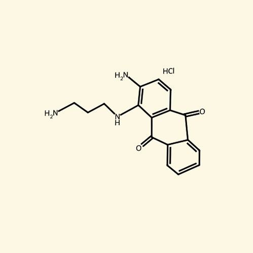 Cl.NCCCNc1c(N)ccc2c1C(=O)c1ccccc1C2=O